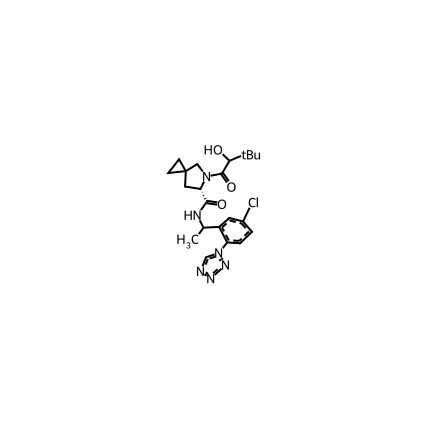 CC(NC(=O)[C@@H]1CC2(CC2)CN1C(=O)C(O)C(C)(C)C)c1cc(Cl)ccc1-n1cnnn1